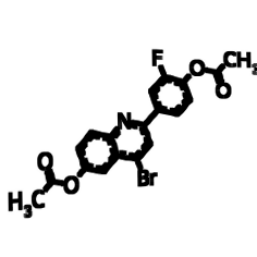 CC(=O)Oc1ccc2nc(-c3ccc(OC(C)=O)c(F)c3)cc(Br)c2c1